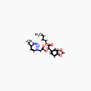 C=CC(N)/C=C\NCC(=O)OC(C(=O)OCCCC)c1ccc2c(c1)OCO2